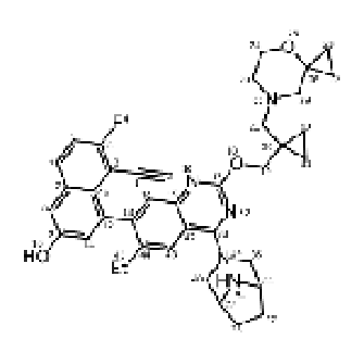 C#Cc1c(F)ccc2cc(O)cc(-c3cc4nc(OCC5(CN6CCOC7(CC7)C6)CC5)nc(N5CC6CCC(C5)N6)c4cc3CC)c12